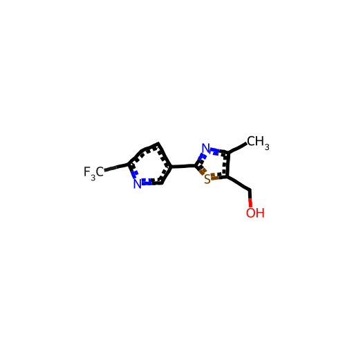 Cc1nc(-c2ccc(C(F)(F)F)nc2)sc1CO